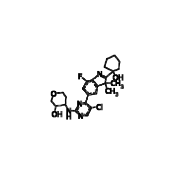 CC1(C)C(C2(O)CCCCC2)=Nc2c(F)cc(-c3nc(NC4CCOCC4O)ncc3Cl)cc21